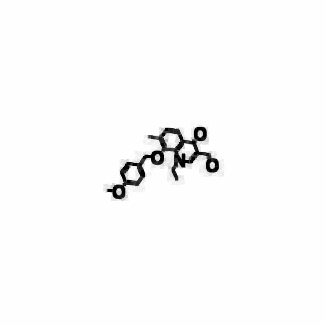 CCn1cc(C=O)c(=O)c2ccc(C)c(OCc3ccc(OC)cc3)c21